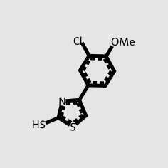 COc1ccc(-c2csc(S)n2)cc1Cl